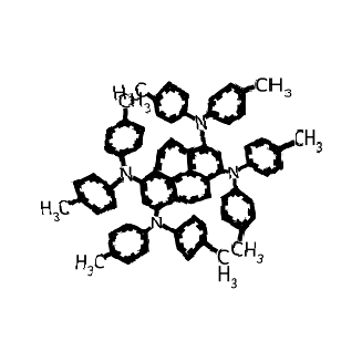 Cc1ccc(N(c2ccc(C)cc2)c2cc(N(c3ccc(C)cc3)c3ccc(C)cc3)c3ccc4c(N(c5ccc(C)cc5)c5ccc(C)cc5)cc(N(c5ccc(C)cc5)c5ccc(C)cc5)c5ccc2c3c54)cc1